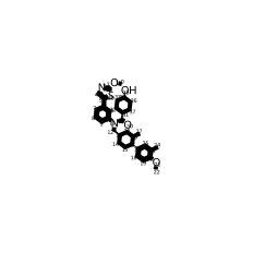 COc1ncc(-c2cccc(N(C[C@@H]3CC[C@@H](c4ccc(OC)c(C)c4)C(C)C3)C(=O)[C@H]3CC[C@H](O)CC3)c2)s1